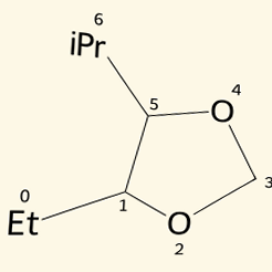 CCC1OCOC1C(C)C